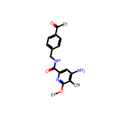 CCOc1nc(C(=O)NCc2ccc(C(=O)CC)cc2)cc(N)c1C#N